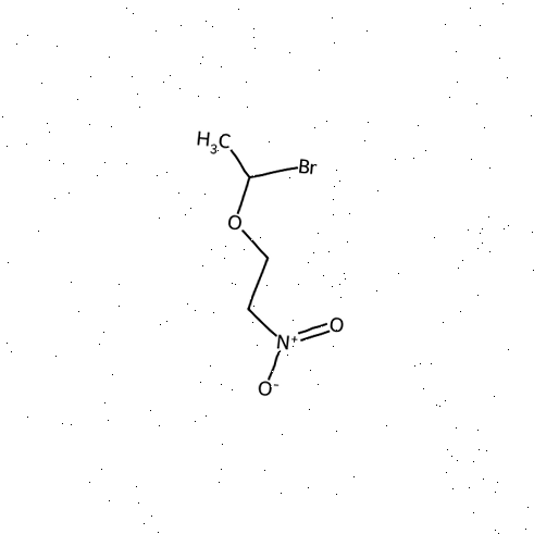 CC(Br)OCC[N+](=O)[O-]